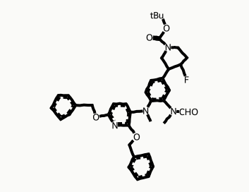 CN(C=O)c1cc(C2CN(C(=O)OC(C)(C)C)CCC2F)ccc1N(C)c1ccc(OCc2ccccc2)nc1OCc1ccccc1